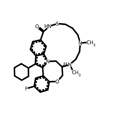 CN1CCCSNC(=O)c2ccc3c(C4CCCCC4)c4n(c3c2)C[C@H](COc2ccc(F)cc2-4)N(C)CC1